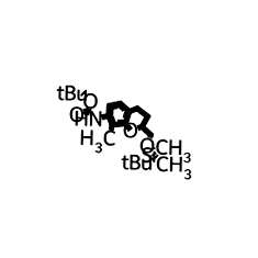 Cc1c(NC(=O)OC(C)(C)C)ccc2c1OC(CO[Si](C)(C)C(C)(C)C)CC2